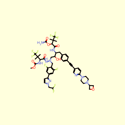 COC(=O)NC(C(=O)NN(Cc1c(F)cc(-c2ccn(CC(F)F)n2)cc1F)CC(O)C(Cc1ccc(C#Cc2ccc(N3CCN(C4COC4)CC3)nc2)cc1)NC(=O)C(OC(N)=O)C(C)(C)C(F)(F)F)C(C)(C)C(F)(F)F